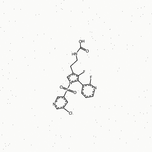 O=C(O)NCCc1cn(S(=O)(=O)c2cncc(Cl)c2)c(-c2cccnc2F)c1F